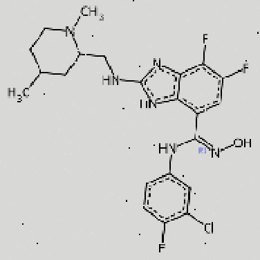 CC1CCN(C)C(CNc2nc3c(F)c(F)cc(/C(=N\O)Nc4ccc(F)c(Cl)c4)c3[nH]2)C1